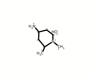 CC1CC(N)CCN1C.Cl